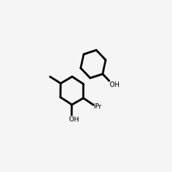 CC1CCC(C(C)C)C(O)C1.OC1CCCCC1